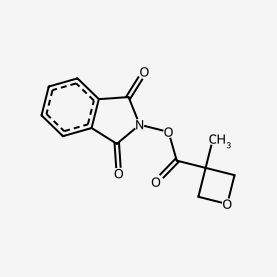 CC1(C(=O)ON2C(=O)c3ccccc3C2=O)COC1